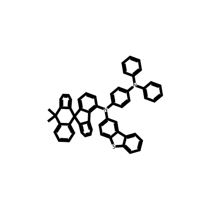 CC1(C)c2ccccc2C2(c3ccccc3-c3c(N(c4ccc(N(c5ccccc5)c5ccccc5)cc4)c4ccc5sc6ccccc6c5c4)cccc32)c2ccccc21